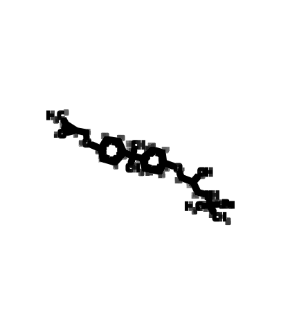 CC1OC1COc1ccc(C(C)(C)c2ccc(OCC(O)CNC(C)(C)C(C)(C)C)cc2)cc1